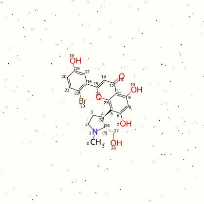 CN1CC[C@@H](c2c(O)cc(O)c3c(=O)cc(-c4cc(O)ccc4Br)oc23)[C@@H]1CO